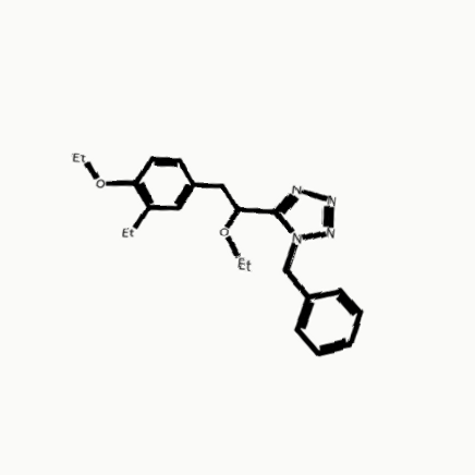 CCOc1ccc(CC(OCC)c2nnnn2Cc2ccccc2)cc1CC